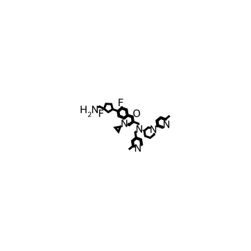 Cc1ccc(N2CCC[C@H](N(Cc3ccnc(C)c3)Cc3cn(C4CC4)c4cc(C5CCC(F)(CN)C5)c(F)cc4c3=O)C2)cn1